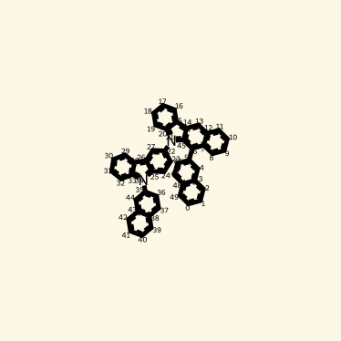 c1ccc2cc(-c3c4ccccc4cc4c5ccccc5n(-c5ccc6c(c5)c5ccccc5n6-c5ccc6ccccc6c5)c34)ccc2c1